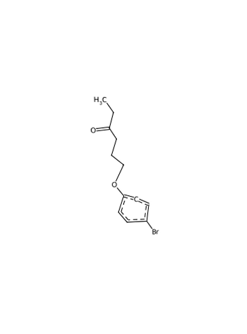 CCC(=O)CCCOc1ccc(Br)cc1